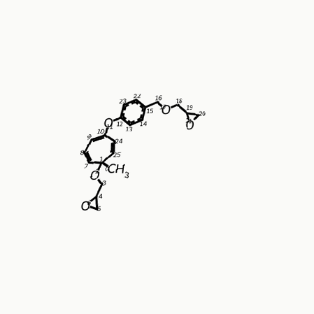 CC1(OCC2CO2)C=CC=C(Oc2ccc(COCC3CO3)cc2)C=C1